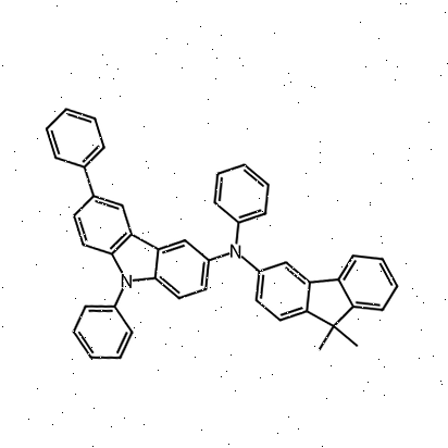 CC1(C)c2ccccc2-c2cc(N(c3ccccc3)c3ccc4c(c3)c3cc(-c5ccccc5)ccc3n4-c3ccccc3)ccc21